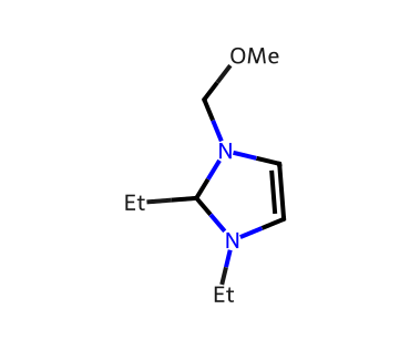 CCC1N(CC)C=CN1COC